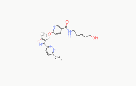 Cc1ccc(-c2noc(C)c2COc2ccc(C(=O)NCCCCCO)cn2)nn1